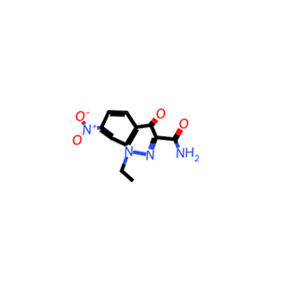 CCn1nc(C(N)=O)c(=O)c2ccc([N+](=O)[O-])cc21